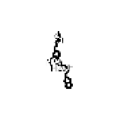 CCOC(=O)CCCc1ccc(OC[C@H](O)C[N+](C)(C)CCC2Cc3ccccc3C2)c(C#N)c1